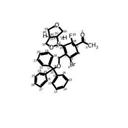 CC(=O)c1cc(Br)c(COC(c2ccccc2)(c2ccccc2)c2ccccc2)c(N2OC[C@H]3COC[C@H]32)c1F